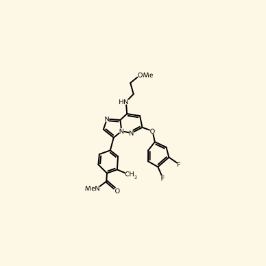 CNC(=O)c1ccc(-c2cnc3c(NCCOC)cc(Oc4ccc(F)c(F)c4)nn23)cc1C